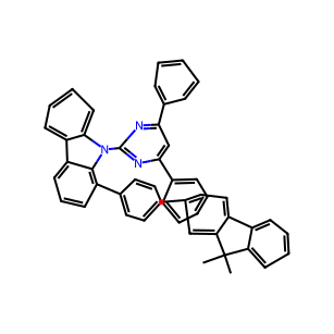 CC1(C)c2ccccc2-c2ccc(-c3ccc(-c4cccc5c6ccccc6n(-c6nc(-c7ccccc7)cc(-c7ccccc7)n6)c45)cc3)cc21